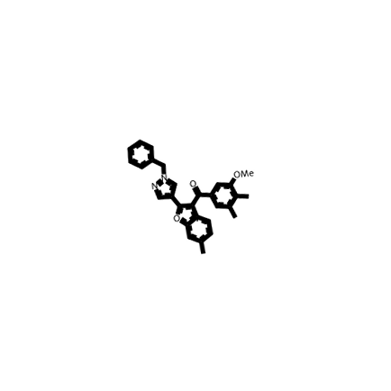 COc1cc(C(=O)c2c(-c3cnn(Cc4ccccc4)c3)oc3cc(C)ccc23)cc(C)c1C